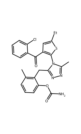 CCc1cc(C(=O)c2ccccc2Cl)c(-n2c(C)nnc2Cc2c(C)cccc2OC(N)=O)s1